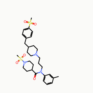 Cc1cccc(N(CCCN2CCC(Cc3ccc(S(C)(=O)=O)cc3)CC2)C(=O)C2CCN(S(C)(=O)=O)CC2)c1